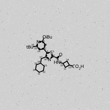 CC(C)COc1cc(-c2sc(C(=O)NC3CC(C(=O)O)C3)nc2CC2CCCCC2)cc(C(C)(C)C)n1